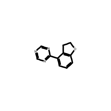 [c]1ncnc(-c2cccc3c2CCO3)n1